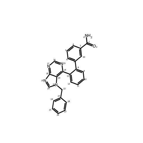 NC(=O)c1cccc(-c2ccccc2-c2ncnc3ncn(Cc4ccccc4)c23)c1